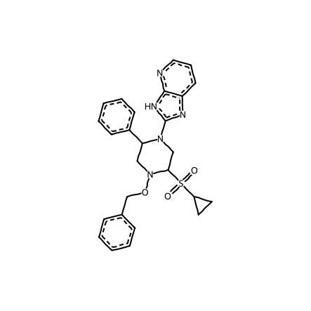 O=S(=O)(C1CC1)C1CN(c2nc3cccnc3[nH]2)C(c2ccccc2)CN1OCc1ccccc1